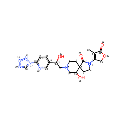 CC1=C(N2CCC3(CCN(C[C@H](O)c4ccc(-n5cnnn5)nc4)CC3O)C2=O)COC1=O